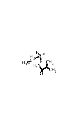 CC.CC(C)C(N)=O.F[B-](F)(F)F